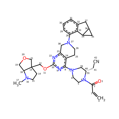 C=CC(=O)N1CCN(c2nc(OCC34CCN(C)C3COC4)nc3c2CCN(c2cccc4c2C2CC2C4)C3)C[C@@H]1CC#N